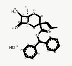 CC=CC1(C(=O)OC(c2ccccc2)c2ccccc2)CS[C@@H]2C(N)C(=O)N2C1.Cl